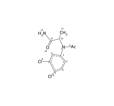 CC(=O)N(c1ccc(Cl)c(Cl)c1)C(C)C(N)=O